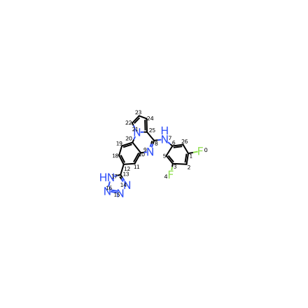 Fc1cc(F)cc(Nc2nc3cc(-c4nnn[nH]4)ccc3n3cccc23)c1